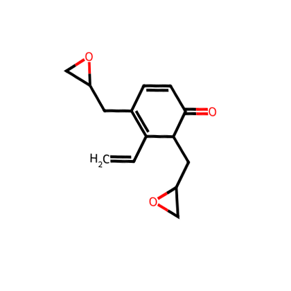 C=CC1=C(CC2CO2)C=CC(=O)C1CC1CO1